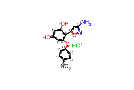 Cl.Nc1cc(-c2c(O)cc(O)cc2Oc2ccc([N+](=O)[O-])cc2)on1